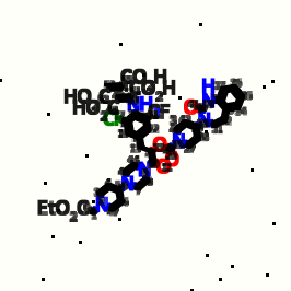 CCOC(=O)CN1CCC(N2CCN(C(=O)[C@@H](Cc3cc(Cl)c(N)c(C(F)(F)F)c3)OC(=O)N3CCC(N4CCc5ccccc5NC4=O)CC3)CC2)CC1.O=C(O)/C=C/C(=O)O.O=C(O)/C=C/C(=O)O